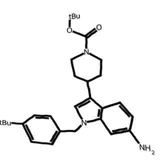 CC(C)(C)OC(=O)N1CCC(c2cn(Cc3ccc(C(C)(C)C)cc3)c3cc(N)ccc23)CC1